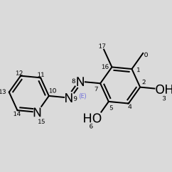 Cc1c(O)cc(O)c(/N=N/c2ccccn2)c1C